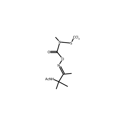 CC(=O)NC(C)(C)C(C)=NOC(=O)N(C)SC(Cl)(Cl)Cl